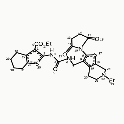 CCOC(=O)c1c(NC(=O)NCc2c(N3C(=O)CCC3=O)sc3c2CCN(CC)C3)sc2c1CCCC2